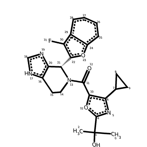 CC(C)(O)c1nc(C2CC2)c(C(=O)N2CCc3[nH]cnc3[C@@H]2c2oc3ccccc3c2F)o1